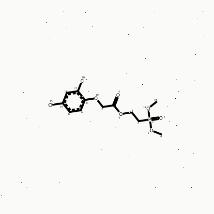 COP(=O)(CCOC(=O)COc1ccc(Cl)cc1Cl)OC